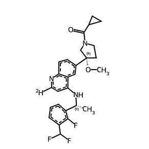 [2H]c1cc(N[C@H](C)c2cccc(C(F)F)c2F)c2cc([C@]3(OC)CCN(C(=O)C4CC4)C3)ccc2n1